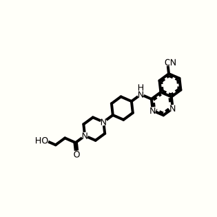 N#Cc1ccc2ncnc(NC3CCC(N4CCN(C(=O)CCO)CC4)CC3)c2c1